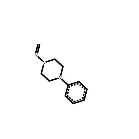 C=NN1CCN(c2ccccc2)CC1